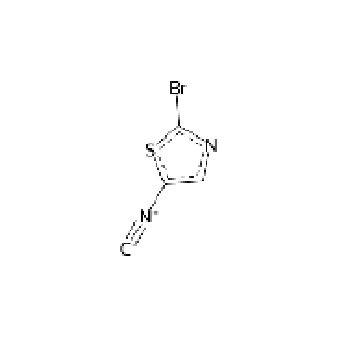 [C-]#[N+]c1cnc(Br)s1